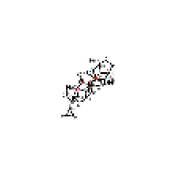 O=C(N[C@H]1C[C@H]2CC[C@@H](C1)N2S(=O)(=O)N1CC2CCC(C1)N2CCO)c1cc(C2CC2)on1